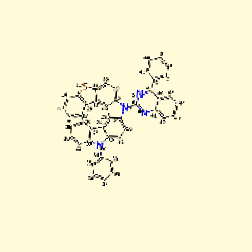 c1ccc(-c2nc(-n3c4ccc5sc6cccc7c8cccc9c8c8c(c4c5c67)c3ccc8n9-c3ccccc3)nc3ccccc23)cc1